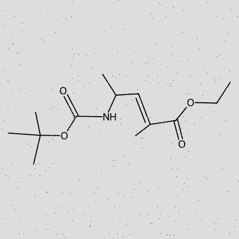 CCOC(=O)C(C)=CC(C)NC(=O)OC(C)(C)C